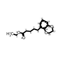 CCOC(=O)CCCCc1cccc2c1OCCO2